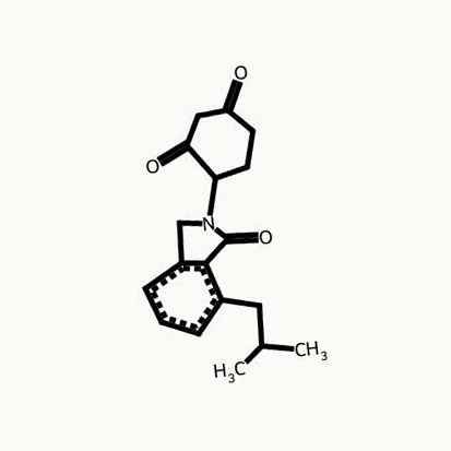 CC(C)Cc1cccc2c1C(=O)N(C1CCC(=O)CC1=O)C2